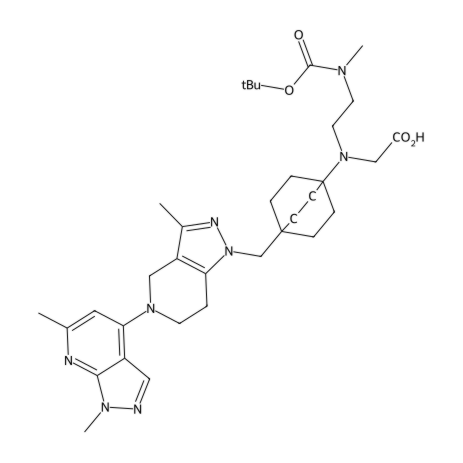 Cc1cc(N2CCc3c(c(C)nn3CC34CCC(N(CCN(C)C(=O)OC(C)(C)C)CC(=O)O)(CC3)CC4)C2)c2cnn(C)c2n1